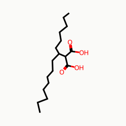 CCCCCCCCC(CCCCCC)C(C(=O)O)C(=O)O